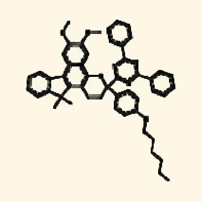 CCCCCCOc1ccc(C2(c3nc(-c4ccccc4)nc(-c4ccccc4)n3)C=Cc3c4c(c5cc(OC)c(OC)cc5c3O2)-c2ccccc2C4(C)C)cc1